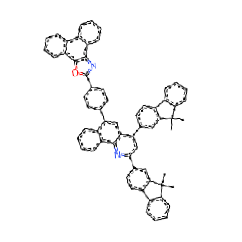 CC1(C)c2ccccc2-c2ccc(-c3cc(-c4ccc5c(c4)C(C)(C)c4ccccc4-5)c4cc(-c5ccc(-c6nc7c8ccccc8c8ccccc8c7o6)cc5)c5ccccc5c4n3)cc21